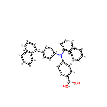 OB(O)c1ccc(N(c2ccc(-c3cccc4ccccc34)cc2)c2cccc3ccccc23)cc1